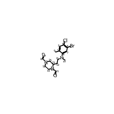 Cc1cc(Cl)c(Br)cc1N(C)CCC1CN(C=O)CCN1C=O